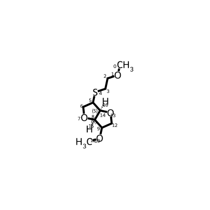 COCCSC1CO[C@@H]2C(OC)CO[C@H]12